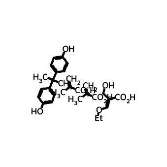 C=C(C)C(=O)O.C=C(C)C(=O)O.CC(C)(c1ccc(O)cc1)c1ccc(O)cc1.CCOC=C(CO)C(=O)O